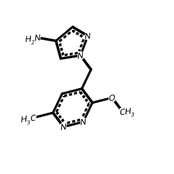 COc1nnc(C)cc1Cn1cc(N)cn1